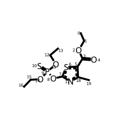 CCOC(=O)c1sc(OP(=S)(OCC)OCC)nc1C